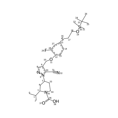 CC(C)C1CC(n2ncc(COc3ccc(SCCO[Si](C)(C)C(C)(C)C)cc3F)c2C#N)CCN1C(=O)O